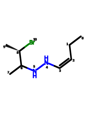 CC/C=C\NNC(C)[C@H](C)Br